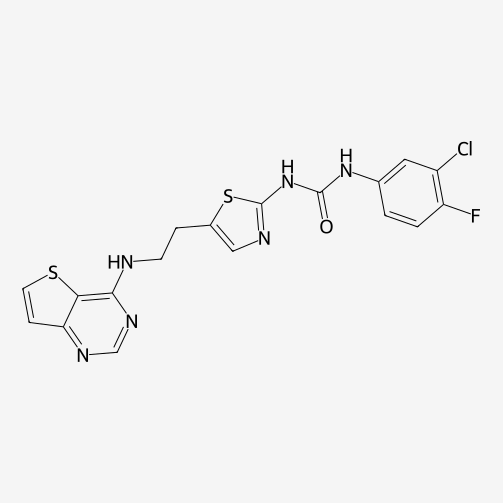 O=C(Nc1ccc(F)c(Cl)c1)Nc1ncc(CCNc2ncnc3ccsc23)s1